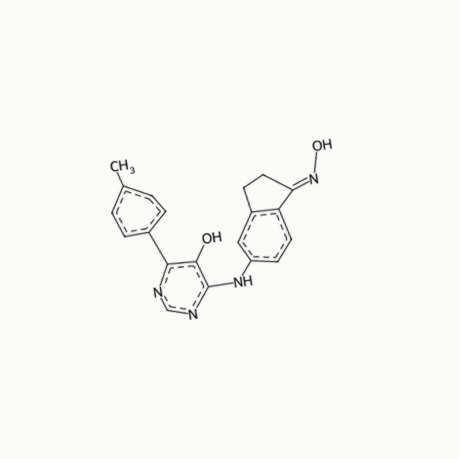 Cc1ccc(-c2ncnc(Nc3ccc4c(c3)CCC4=NO)c2O)cc1